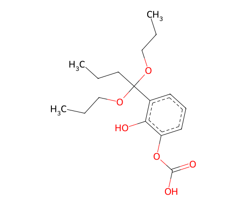 CCCOC(CCC)(OCCC)c1cccc(OC(=O)O)c1O